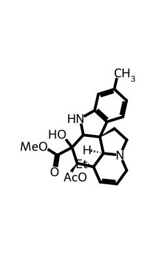 CC[C@]12C=CCN3CC[C@@]4(c5ccc(C)cc5NC4C(O)(C(=O)OC)[C@@H]1OC(C)=O)[C@@H]32